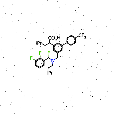 CC(C)CCN(Cc1cc(-c2ccc(C(F)(F)F)cc2)cc(C(CC(C)C)C(=O)O)c1)C(F)c1cccc(F)c1F